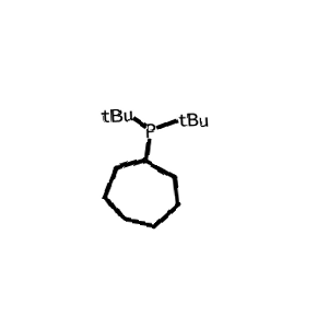 CC(C)(C)P(C1CCCCCC1)C(C)(C)C